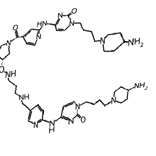 NC1CCN(CCCCn2ccc(Nc3ccc(CNCCCNO[C@@H]4CCN(C(=O)c5ccnc(Nc6ccn(CCCCN7CCC(N)CC7)c(=O)n6)c5)C4)cn3)nc2=O)CC1